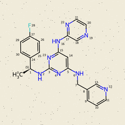 C[C@H](Nc1nc(NCc2cccnc2)cc(Nc2cnccn2)n1)c1ccc(F)cc1